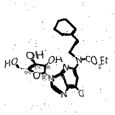 CCOC(=O)N(CCC1CCCCC1)c1cc(Cl)c2ncn([C@@H]3O[C@H](CO)[C@@H](O)[C@H]3O)c2n1